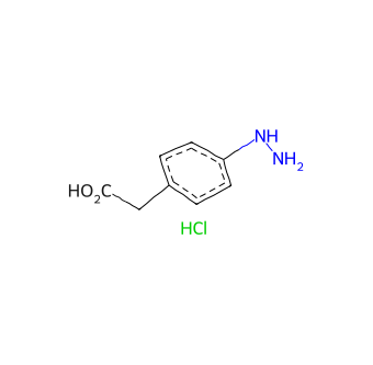 Cl.NNc1ccc(CC(=O)O)cc1